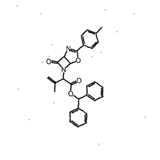 C=C(C)C(C(=O)OC(c1ccccc1)c1ccccc1)N1C(=O)C2N=C(c3ccc(C)cc3)OC21